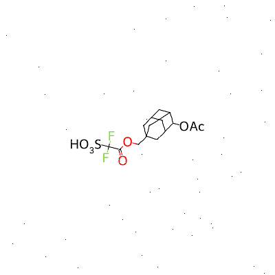 CC(=O)OC1C2CC3CC1CC(COC(=O)C(F)(F)S(=O)(=O)O)(C3)C2